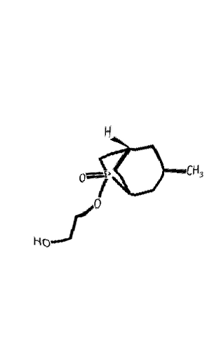 CC1CC2C[C@@H](C1)CP2(=O)OCCO